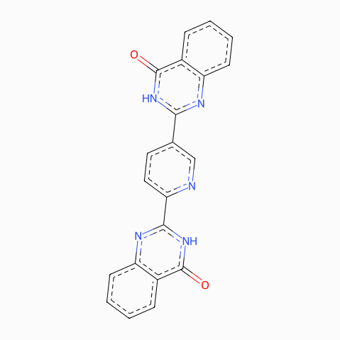 O=c1[nH]c(-c2ccc(-c3nc4ccccc4c(=O)[nH]3)nc2)nc2ccccc12